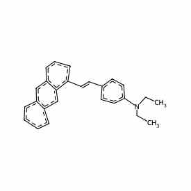 CCN(CC)c1ccc(/C=C/c2cccc3cc4ccccc4cc23)cc1